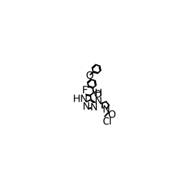 O=C(c1ccc(Oc2ccccc2)cc1F)c1c[nH]c2ncnc(NC3CCN(C(=O)CCl)C3)c12